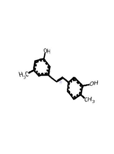 Cc1cc(O)cc(/C=C/c2ccc(C)c(O)c2)c1